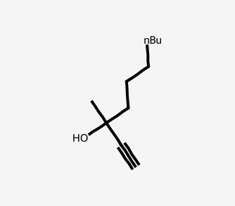 C#CC(C)(O)CCCCCCC